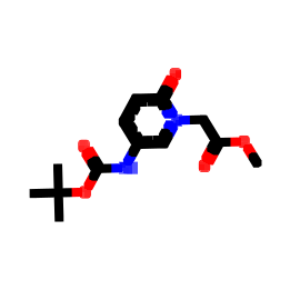 COC(=O)Cn1cc(NC(=O)OC(C)(C)C)ccc1=O